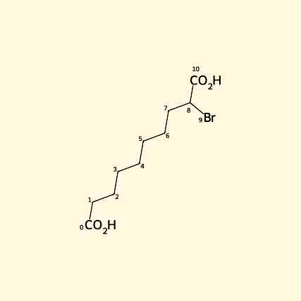 O=C(O)CCCCCCCC(Br)C(=O)O